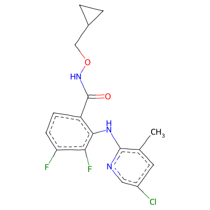 Cc1cc(Cl)cnc1Nc1c(C(=O)NOCC2CC2)ccc(F)c1F